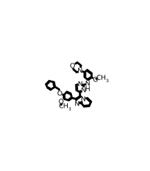 COc1ccc(N2CCOCC2)cc1Nc1nccc(-c2c(-c3ccc(OCc4ccccc4)c(OC)c3)nc3ccccn23)n1